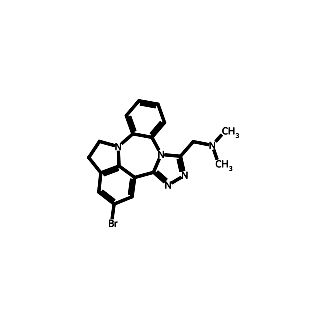 CN(C)Cc1nnc2n1-c1ccccc1N1CCc3cc(Br)cc-2c31